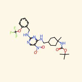 CC1(NC(=O)OC(C)(C)C)CCC(CNc2nc(NCc3ccccc3OC(F)(F)F)ncc2[N+](=O)[O-])CC1